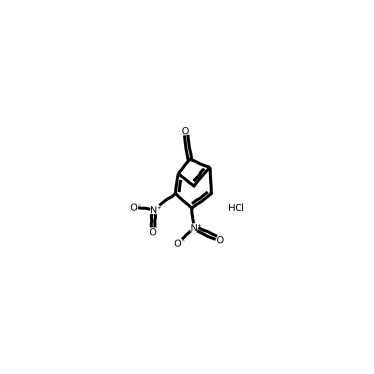 Cl.O=C1c2cc1c([N+](=O)[O-])c([N+](=O)[O-])c2